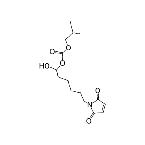 CC(C)COC(=O)OC(O)CCCCCN1C(=O)C=CC1=O